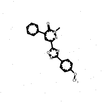 Cn1nc(-c2nc(-c3ccc(OC(F)(F)F)cc3)no2)cc(-c2ccccc2)c1=O